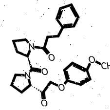 COc1ccc(OCC(=O)[C@@H]2CCCN2C(=O)[C@H]2CCCN2C(=O)CCc2ccccc2)cc1